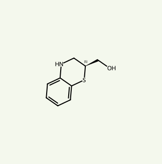 OC[C@@H]1CNc2ccccc2S1